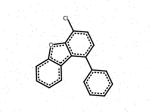 Clc1ccc(-c2ccccc2)c2c1oc1ccccc12